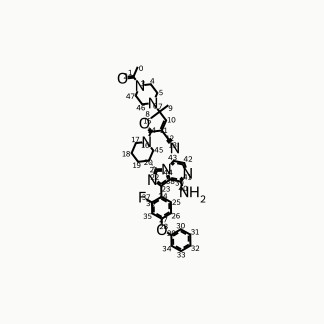 CC(=O)N1CCN(C(C)(C)/C=C(/C#N)C(=O)N2CCC[C@@H](c3nc(-c4ccc(Oc5ccccc5)cc4F)c4c(N)nccn34)C2)CC1